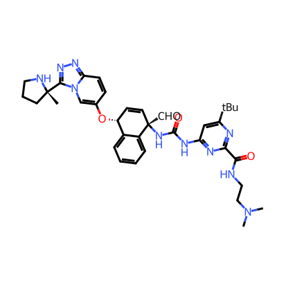 CN(C)CCNC(=O)c1nc(NC(=O)N[C@@]2(C=O)C=C[C@@H](Oc3ccc4nnc([C@]5(C)CCCN5)n4c3)c3ccccc32)cc(C(C)(C)C)n1